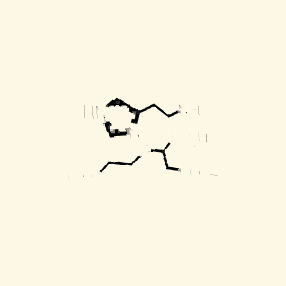 CCCCCCCCCCCCSC(CC(=O)O)C(=O)O.NCCc1c[nH]cn1